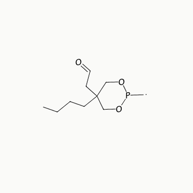 [CH2]P1OCC(CC=O)(CCCC)CO1